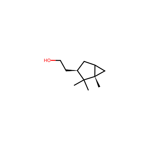 CC1(C)[C@@H](CCO)CC2C[C@@]21C